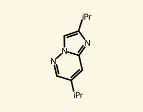 CC(C)c1cnn2cc(C(C)C)nc2c1